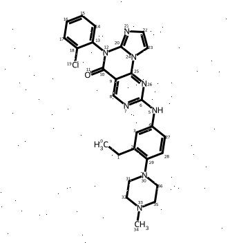 CCc1cc(Nc2ncc3c(=O)n(-c4ccccc4Cl)c4nccn4c3n2)ccc1N1CCN(C)CC1